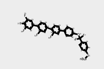 CCCCSc1ccc(C(F)(F)Oc2ccc(-c3ccc(-c4ccc(-c5cc(F)c(F)c(F)c5)c(F)c4)c(F)c3)cc2)cc1